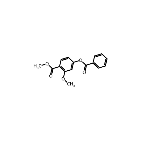 COC(=O)c1ccc(OC(=O)c2ccccc2)cc1OC